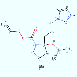 C=CCOC(=O)N1C[C@@H](C(C)(C)C)C[C@@]1(CCCn1ccnc1)O[SiH](C)C